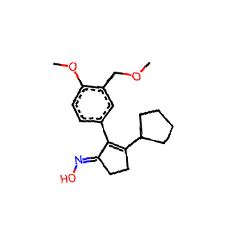 COCc1cc(C2=C(C3CCCC3)CCC2=NO)ccc1OC